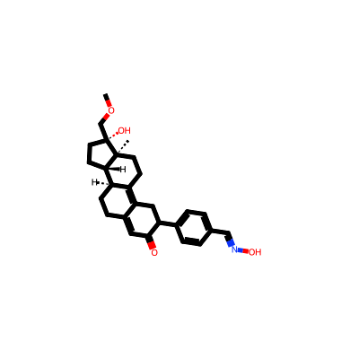 COC[C@]1(O)CC[C@H]2[C@@H]3CCC4=CC(=O)C(c5ccc(C=NO)cc5)CC4=C3CC[C@@]21C